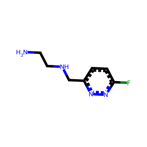 NCCNCc1ccc(F)nn1